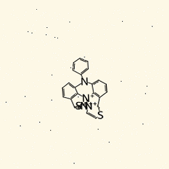 c1ccc(N2c3cccc4c3[N+]3(c5c(cccc52)-c2scc[n+]23)[n+]2ccsc2-4)cc1